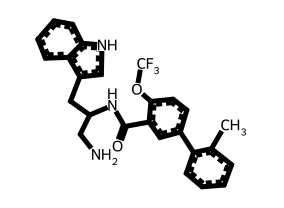 Cc1ccccc1-c1ccc(OC(F)(F)F)c(C(=O)NC(CN)Cc2c[nH]c3ccccc23)c1